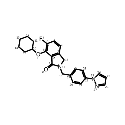 O=C1c2c(ccc(F)c2OC2CCCCC2)CN1Cc1ccc(-n2cccn2)cc1